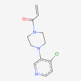 C=CC(=O)N1CCN(c2cnccc2Cl)CC1